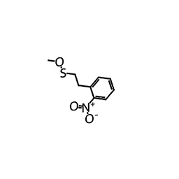 COSCCc1ccccc1[N+](=O)[O-]